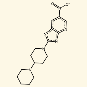 O=[N+]([O-])c1cnc2nc(N3CCC(N4CCCCC4)CC3)sc2c1